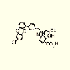 CC[C@H](O)Cn1c(CN2CCC(c3cccc4c3Oc3ccc(Cl)cc3O4)CC2)nc2ccc(C(=O)O)cc21